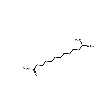 CCCCCCC(CCCCCCCCCCC(=O)OC)OC